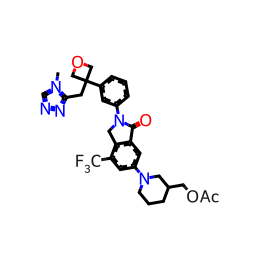 CC(=O)OCC1CCCN(c2cc3c(c(C(F)(F)F)c2)CN(c2cccc(C4(Cc5nncn5C)COC4)c2)C3=O)C1